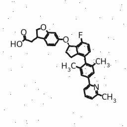 Cc1cccc(-c2cc(C)c(-c3ccc(F)c4c3CC[C@H]4Oc3ccc4c(c3)OCC4CC(=O)O)c(C)c2)n1